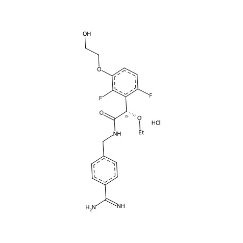 CCO[C@H](C(=O)NCc1ccc(C(=N)N)cc1)c1c(F)ccc(OCCO)c1F.Cl